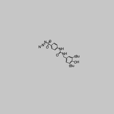 CC(C)(C)c1cc(CNC(=O)Nc2ccc(S(=O)(=O)N=[N+]=[N-])cc2)cc(C(C)(C)C)c1O